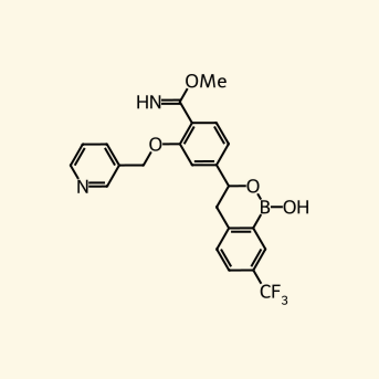 COC(=N)c1ccc(C2Cc3ccc(C(F)(F)F)cc3B(O)O2)cc1OCc1cccnc1